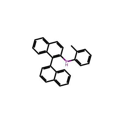 Cc1ccccc1Pc1ccc2ccccc2c1-c1cccc2ccccc12